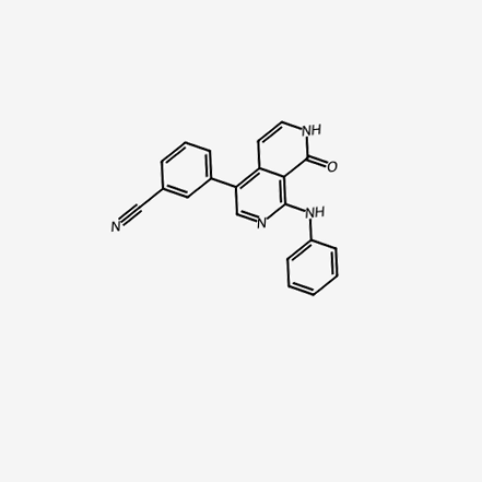 N#Cc1cccc(-c2cnc(Nc3ccccc3)c3c(=O)[nH]ccc23)c1